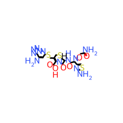 NC(=O)CON=C(C(=O)NC1C(=O)N2C(C(=O)O)=C(CSc3cc(N)c4nnnn4n3)CS[C@@H]12)c1csc(N)n1